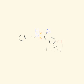 CC(C)(C)c1cc(/C=C(\C#N)S(=O)(=O)NCCCc2ccccc2)ccc1O